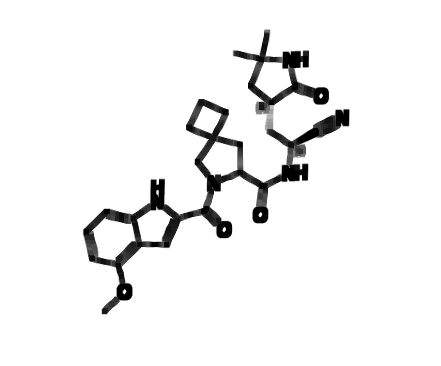 COc1cccc2[nH]c(C(=O)N3CC4(CCC4)CC3C(=O)N[C@H](C#N)C[C@@H]3CC(C)(C)NC3=O)cc12